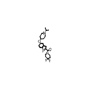 CC(C)N1CCC(Oc2ccc3c(c2)cc(C(=O)N2CCC(F)(F)CC2)n3C)CC1